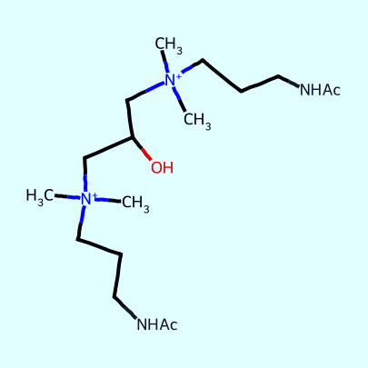 CC(=O)NCCC[N+](C)(C)CC(O)C[N+](C)(C)CCCNC(C)=O